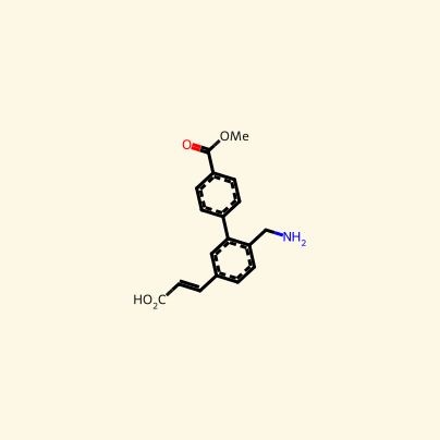 COC(=O)c1ccc(-c2cc(C=CC(=O)O)ccc2CN)cc1